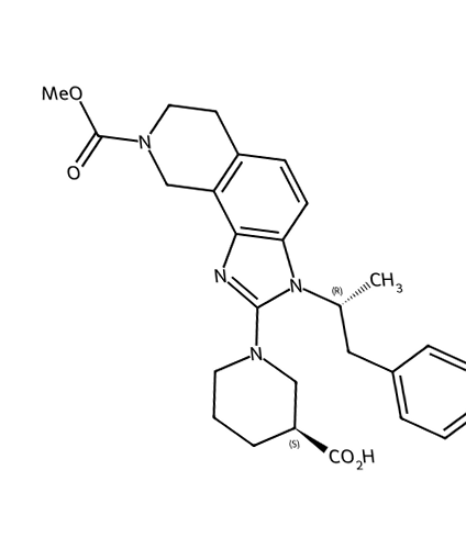 COC(=O)N1CCc2ccc3c(nc(N4CCC[C@H](C(=O)O)C4)n3[C@H](C)Cc3ccccc3)c2C1